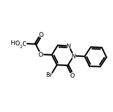 O=C(O)C(=O)Oc1cnn(-c2ccccc2)c(=O)c1Br